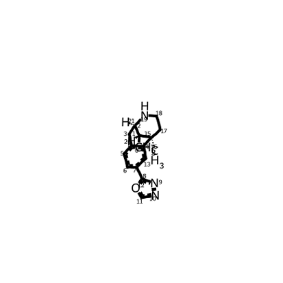 C[C@@H]1[C@H]2Cc3ccc(-c4nnco4)cc3[C@]1(C)CCN2